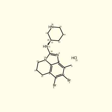 Cc1c(Br)c(Br)c2c3c1nc(N[C@@H]1CCCNC1)n3CCC2.Cl